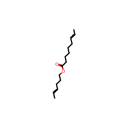 C/C=C/CCCCCC(=O)OCCC/C=C/C